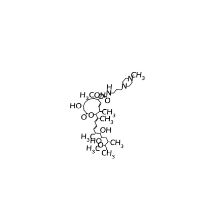 CCC(OC)C(C)CC(O)C(O)C(C)/C=C/C=C(\C)C1OC(=O)CC(O)CCC(C)(O)C(OC(=O)NCCCN2CCN(C)CC2)/C=C/C1C